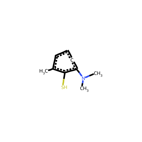 Cc1cccc(N(C)C)c1S